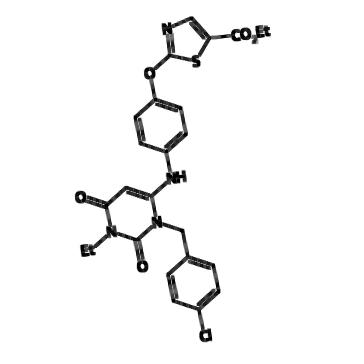 CCOC(=O)c1cnc(Oc2ccc(Nc3cc(=O)n(CC)c(=O)n3Cc3ccc(Cl)cc3)cc2)s1